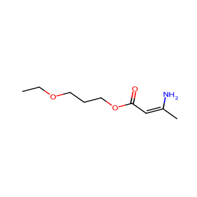 CCOCCCOC(=O)C=C(C)N